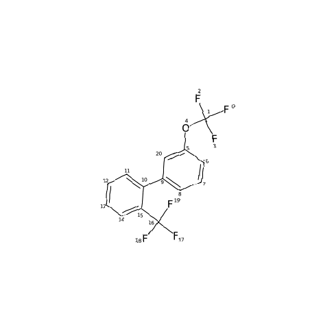 FC(F)(F)Oc1[c]ccc(-c2ccccc2C(F)(F)F)c1